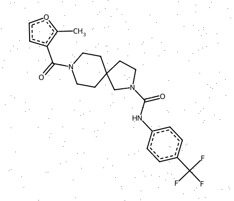 Cc1occc1C(=O)N1CCC2(CCN(C(=O)Nc3ccc(C(F)(F)F)cc3)C2)CC1